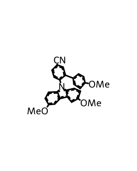 COc1ccc(-c2cc(C#N)ccc2-n2c3ccc(OC)cc3c3cc(OC)ccc32)cc1